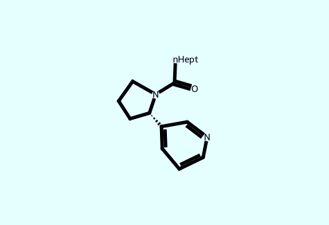 CCCCCCCC(=O)N1CCC[C@H]1c1cccnc1